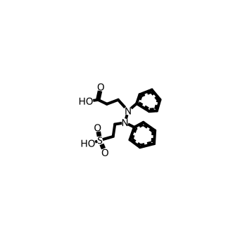 O=C(O)CCN(c1ccccc1)N(CCS(=O)(=O)O)c1ccccc1